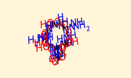 CC[C@H](C)[C@@H]1NC(=O)[C@@H](CCCNC(=N)N)NC(=O)[C@H](CC(C)C)NC(=O)[C@H]([C@H](O)C(C)C)NC(=O)[C@@H](NC(=O)[C@H](CC(C)(C)C)NC(=O)[C@@H](CC(C)(C)C)NC(=O)OC(C)(C)C)[C@@H](c2ccccc2)NC(=O)[C@H](CO)NC(=O)C([C@H](O)C(N)=O)NC(=O)[C@@H](C)NC(=O)[C@H]([C@H](C)O)NC1=O